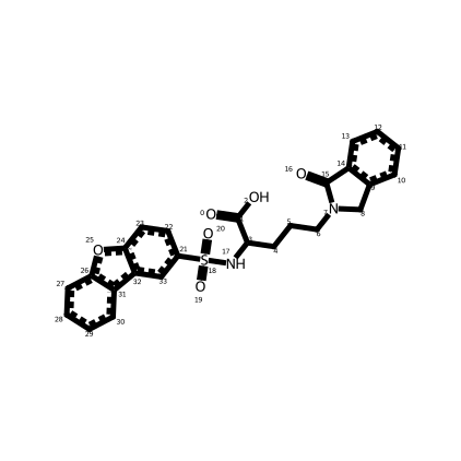 O=C(O)C(CCCN1Cc2ccccc2C1=O)NS(=O)(=O)c1ccc2oc3ccccc3c2c1